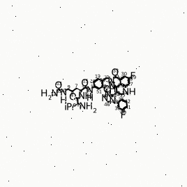 CC(C)[C@H](N)C(=O)N[C@@H](CCCNC(N)=O)C(=O)Nc1ccc(Cn2nc3c4c(cc(F)cc4c2=O)N[C@H](c2ccc(F)cc2)[C@H]3c2ncnn2C)cc1